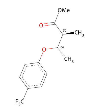 COC(=O)[C@@H](C)[C@H](C)Oc1ccc(C(F)(F)F)cc1